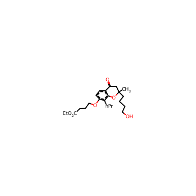 CCCc1c(OCCCC(=O)OCC)ccc2c1OC(C)(CCCCO)CC2=O